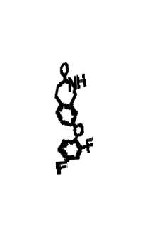 O=C1CCc2ccc(Oc3ccc(F)cc3F)cc2CN1